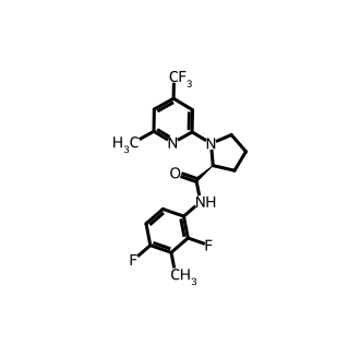 Cc1cc(C(F)(F)F)cc(N2CCC[C@H]2C(=O)Nc2ccc(F)c(C)c2F)n1